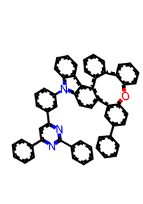 c1ccc(-c2ccc3oc4ccccc4c4ccccc4c4c(ccc5c4c4ccccc4n5-c4cccc(-c5cc(-c6ccccc6)nc(-c6ccccc6)n5)c4)c3c2)cc1